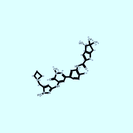 Cn1nc(Nc2cc(-c3ccc(F)c(NC(=O)c4cc5c(s4)CC(C)(C)[C@H]5O)c3)nn(C)c2=O)cc1CN1CCC1